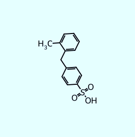 Cc1ccccc1Cc1ccc(S(=O)(=O)O)cc1